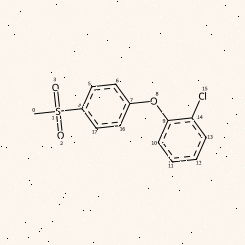 CS(=O)(=O)c1ccc(Oc2c[c]ccc2Cl)cc1